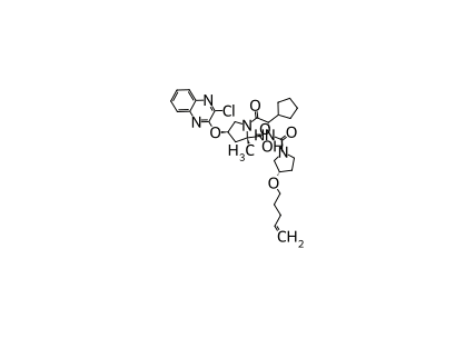 C=CCCCO[C@H]1CCN(C(=O)N[C@H](C(=O)N2C[C@H](Oc3nc4ccccc4nc3Cl)C[C@@]2(C)C(=O)O)C2CCCC2)C1